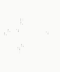 CC(Nc1ccn2ncc(-c3cn[nH]c3)c2n1)c1ccccc1CCCN1CCCCC1